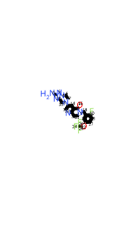 Nc1nc2n(n1)CCN(c1cnc3c(c1)C(=O)N(Cc1cc(OC(F)(F)F)ccc1F)CC3)C2